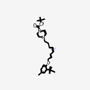 Cc1ccc(OCCC/C=C\CCCN2CCN(C(=O)OC(C)(C)C)CC2)c(C(C)(C)C)c1